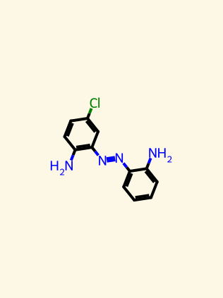 Nc1ccccc1N=Nc1cc(Cl)ccc1N